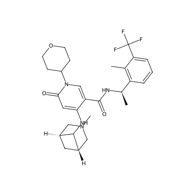 Cc1c([C@@H](C)NC(=O)c2cn(C3CCOCC3)c(=O)cc2NC2[C@H]3C[C@H]2CN(C)C3)cccc1C(F)(F)F